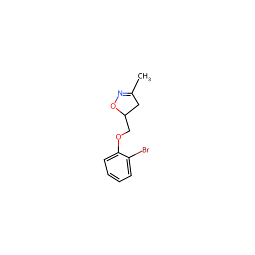 CC1=NOC(COc2ccccc2Br)C1